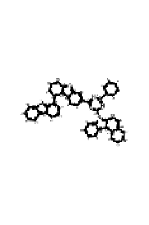 c1ccc(-c2nc(-c3ccc4c(c3)oc3cccc(-c5cccc6c5oc5ccccc56)c34)nc(-n3c4ccccc4c4c5ccccc5ccc43)n2)cc1